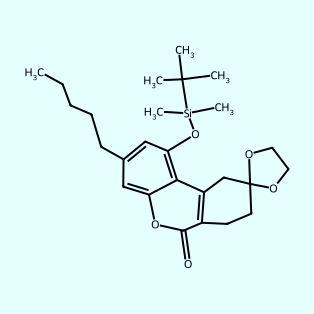 CCCCCc1cc(O[Si](C)(C)C(C)(C)C)c2c3c(c(=O)oc2c1)CCC1(C3)OCCO1